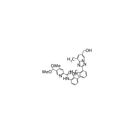 COC(OC)c1ccc(C(=O)Nc2cccc(-c3cccc(-c4nc5c(C)cc(CO)cn5n4)c3C)c2C)nc1